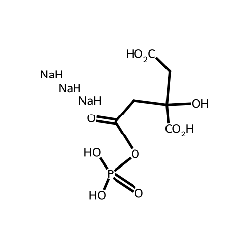 O=C(O)CC(O)(CC(=O)OP(=O)(O)O)C(=O)O.[NaH].[NaH].[NaH]